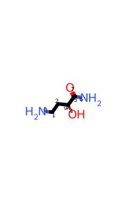 NCC[C@H](O)C(N)=O